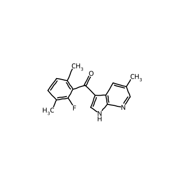 Cc1cnc2[nH]cc(C(=O)c3c(C)ccc(C)c3F)c2c1